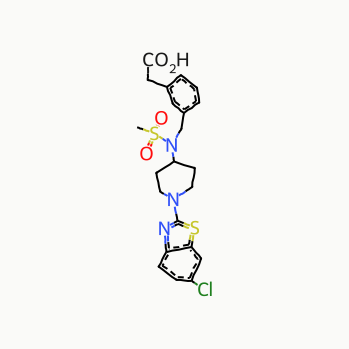 CS(=O)(=O)N(Cc1cccc(CC(=O)O)c1)C1CCN(c2nc3ccc(Cl)cc3s2)CC1